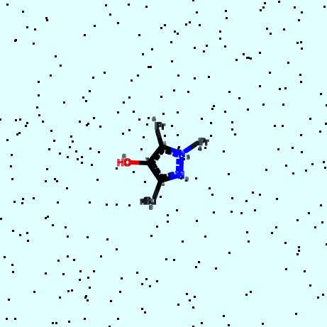 CCCCc1nn(C(C)C)c(C(C)C)c1O